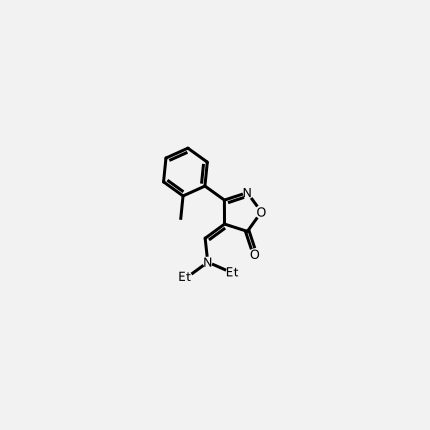 CCN(C=C1C(=O)ON=C1c1ccccc1C)CC